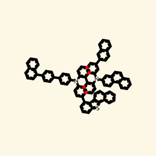 c1cc(-c2ccc3ccccc3c2)cc(N(c2ccc3c(ccc4ccccc43)c2)c2ccccc2-c2ccccc2N(c2ccc(-c3ccc(-c4cccc5ccccc45)cc3)cc2)c2ccc(-c3cccc4sc5c6ccccc6ccc5c34)cc2)c1